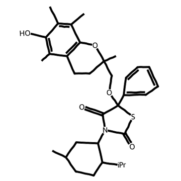 Cc1c(C)c2c(c(C)c1O)CCC(C)(COC1(c3ccccc3)SC(=O)N(C3CC(C)CCC3C(C)C)C1=O)O2